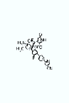 C[C@@H]1CN(c2cc(F)c(C3=CCN(c4ncc(C#N)s4)CC3)cc2NC(=O)c2c[nH]c(=O)cc2C(F)F)C[C@H](C)N1C